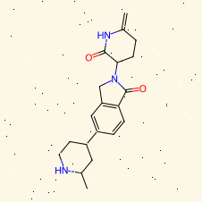 C=C1CCC(N2Cc3cc(C4CCNC(C)C4)ccc3C2=O)C(=O)N1